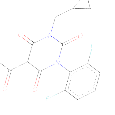 CC(=O)C1C(=O)N(CC2CC2)C(=O)N(c2c(F)cccc2F)C1=O